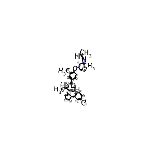 CN/N=C(C)\C=C(/C=O)Oc1ccc(C(=O)N[C@H](C)C(O)N2CCCC2c2cccc(Cl)c2)cc1C